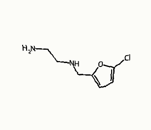 NCCNCc1ccc(Cl)o1